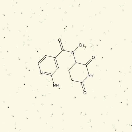 CN(C(=O)c1ccnc(N)c1)C1CCC(=O)NC1=O